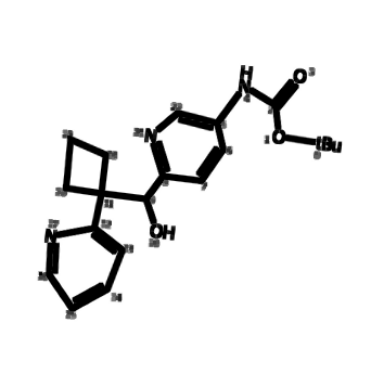 CC(C)(C)OC(=O)Nc1ccc(C(O)C2(c3ccccn3)CCC2)nc1